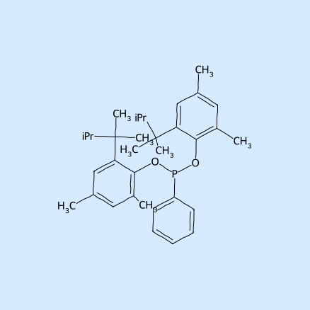 Cc1cc(C)c(OP(Oc2c(C)cc(C)cc2C(C)(C)C(C)C)c2ccccc2)c(C(C)(C)C(C)C)c1